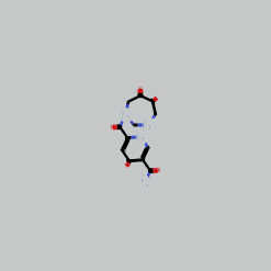 NC(=O)c1cn2c(cc1=O)C(=O)N1CC(=O)C(=O)CN2C1